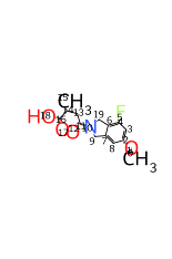 COc1cc(F)c2c(c1)CN(C(=O)CC(C)C(=O)O)C2